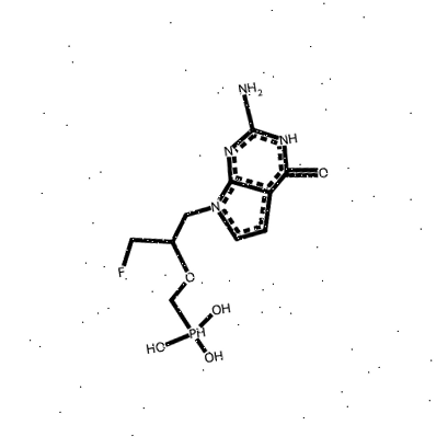 Nc1nc2c(ccn2CC(CF)OC[PH](O)(O)O)c(=O)[nH]1